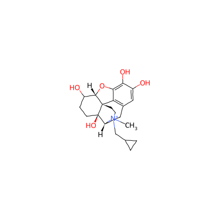 C[N+]1(CC2CC2)CC[C@]23c4c5cc(O)c(O)c4O[C@H]2C(O)CC[C@@]3(O)[C@H]1C5